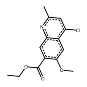 CCOC(=O)c1cc2nc(C)cc(Cl)c2cc1OC